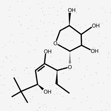 CC[C@H](O[C@@H]1OC[C@@H](O)C(O)C1O)/C(O)=C\[C@@H](O)C(C)(C)C